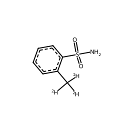 [2H]C([2H])([2H])c1ccccc1S(N)(=O)=O